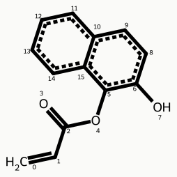 C=CC(=O)Oc1c(O)ccc2ccccc12